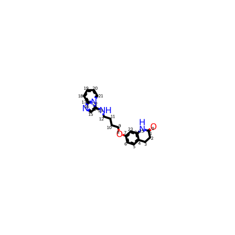 O=C1CCc2ccc(OCCCCNc3cnc4ccccn34)cc2N1